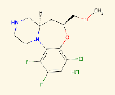 COC[C@@H]1C[C@@H]2CNCCN2c2c(F)c(F)cc(Cl)c2O1.Cl